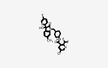 Cc1ccc2c(c1)N(CC1CCC(NC(=O)c3cc(Cl)cnc3C(F)F)CC1)C(=O)C2(O)c1ccc(F)cn1